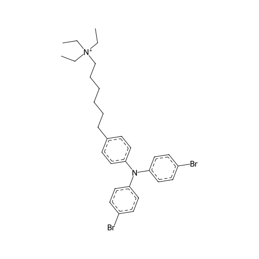 CC[N+](CC)(CC)CCCCCCc1ccc(N(c2ccc(Br)cc2)c2ccc(Br)cc2)cc1